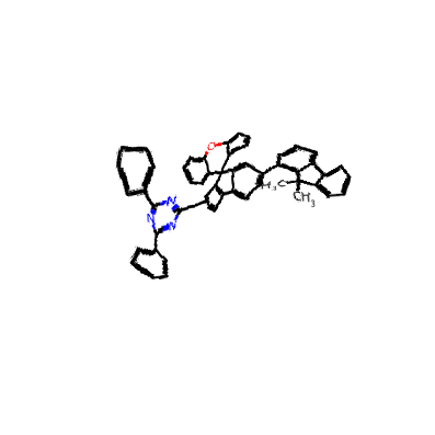 CC1(C)c2ccccc2-c2cccc(-c3ccc4c(c3)C3(c5ccccc5Oc5ccccc53)c3cc(-c5nc(-c6ccccc6)nc(-c6ccccc6)n5)ccc3-4)c21